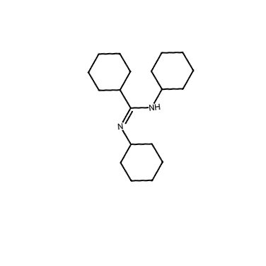 C1CCC(N=C(NC2CCCCC2)C2CCCCC2)CC1